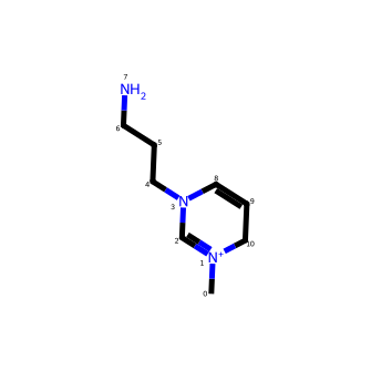 C[N+]1=CN(CCCN)C=CC1